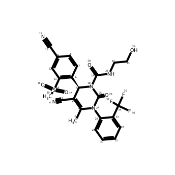 CC1=C(C#N)[C@@H](c2ccc(C#N)cc2S(C)(=O)=O)N(C(=O)NCCO)C(=O)N1c1ccccc1C(F)(F)F